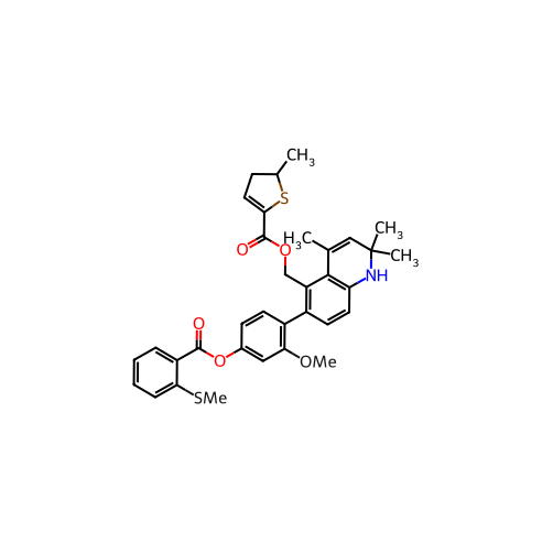 COc1cc(OC(=O)c2ccccc2SC)ccc1-c1ccc2c(c1COC(=O)C1=CCC(C)S1)C(C)=CC(C)(C)N2